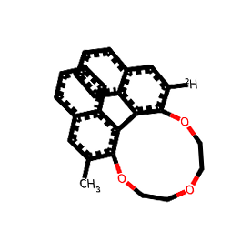 [2H]c1cc2ccccc2c2c1OCCOCCOc1c(C)cc3ccccc3c1-2